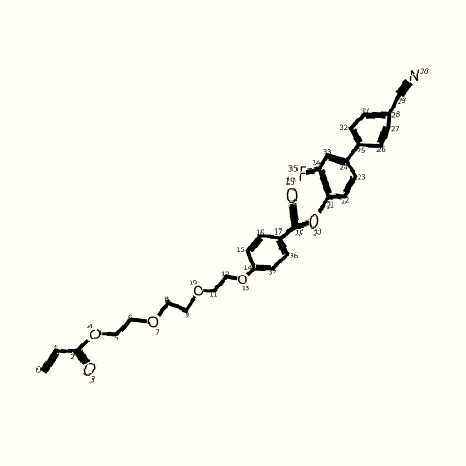 C=CC(=O)OCCOCCOCCOc1ccc(C(=O)Oc2ccc(-c3ccc(C#N)cc3)cc2F)cc1